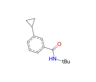 CC(C)(C)NC(=O)c1cccc(C2CC2)c1